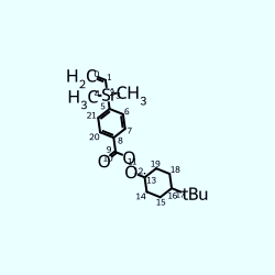 C=C[Si](C)(C)c1ccc(C(=O)OO[C]2CCC(C(C)(C)C)CC2)cc1